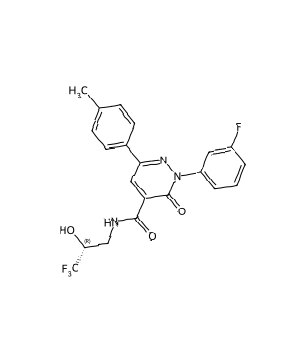 Cc1ccc(-c2cc(C(=O)NC[C@@H](O)C(F)(F)F)c(=O)n(-c3cccc(F)c3)n2)cc1